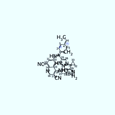 C=C(/C=C\C(F)=C/C)[C@H](Nc1cc(C#N)c2ncc(C#N)c(NCC(C)(C)C)c2c1)C1=CN(C2(C(N)=O)CC2)NN1